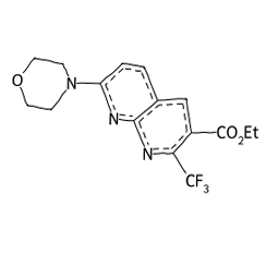 CCOC(=O)c1cc2ccc(N3CCOCC3)nc2nc1C(F)(F)F